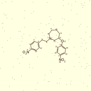 O=[N+]([O-])c1ccc(CCN2CCCCC(Oc3ccc([N+](=O)[O-])cc3)C2)cc1